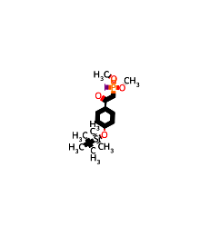 CO[PH](I)(CC(=O)[C@H]1CC[C@H](O[Si](C)(C)C(C)(C)C)CC1)OC